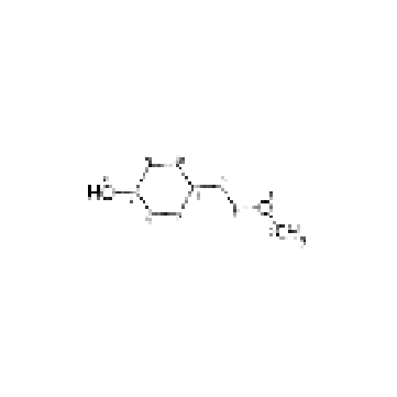 COCCC1CCC(O)CC1